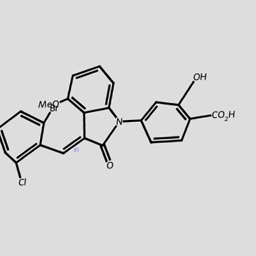 COc1cccc2c1/C(=C\c1c(Cl)cccc1Br)C(=O)N2c1ccc(C(=O)O)c(O)c1